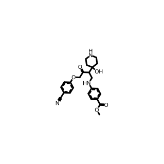 COC(=O)c1ccc(NCC(C(=O)COc2ccc(C#N)cc2)C2(O)CCNCC2)cc1